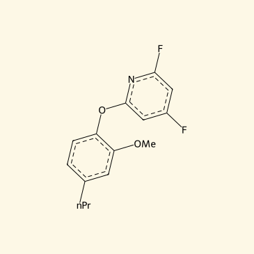 CCCc1ccc(Oc2cc(F)cc(F)n2)c(OC)c1